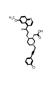 COc1ccc2nccc(C(F)CC[C@@H]3CCN(CC#Cc4cccc(Cl)c4)C[C@@H]3CC(=O)O)c2c1